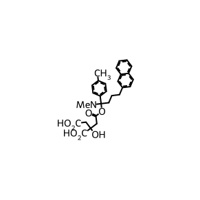 CNC(CCCc1ccc2ccccc2c1)(OC(=O)CC(O)(CC(=O)O)C(=O)O)c1ccc(C)cc1